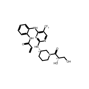 C=CC(=O)Nc1ccccc1Nc1nc(N[C@H]2CCCN(C(=O)[C@@H](O)CO)C2)ncc1C(F)(F)F